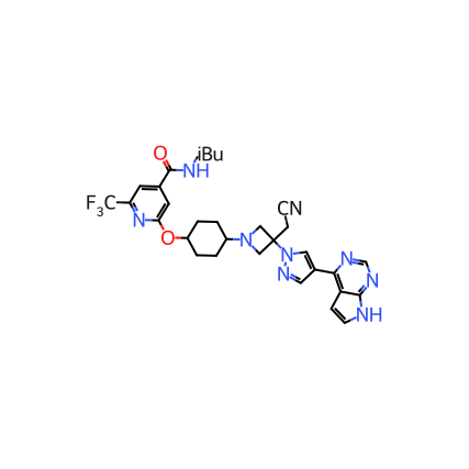 CCC(C)NC(=O)c1cc(OC2CCC(N3CC(CC#N)(n4cc(-c5ncnc6[nH]ccc56)cn4)C3)CC2)nc(C(F)(F)F)c1